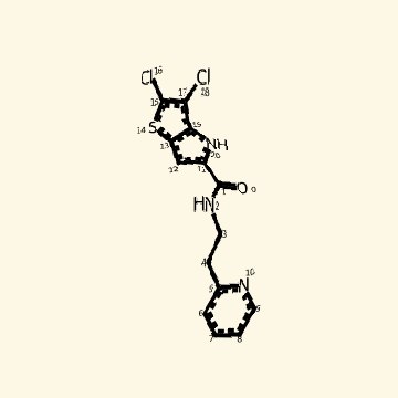 O=C(NCCc1ccccn1)c1cc2sc(Cl)c(Cl)c2[nH]1